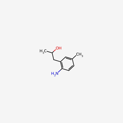 Cc1ccc(N)c(CC(C)O)c1